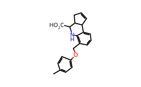 Cc1ccc(OCc2cccc3c2NC(C(=O)O)C2CC=CC32)cc1